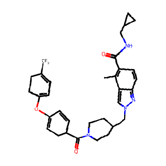 Cc1c(C(=O)NCC2CC2)ccc2nn(CC3CCN(C(=O)C4C=CC(OC5=CC=C(C(F)(F)F)CC5)=CC4)CC3)cc12